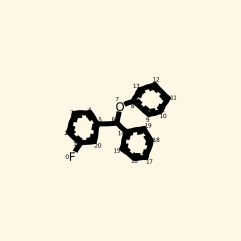 Fc1cccc(C(Oc2c[c]ccc2)c2ccccc2)c1